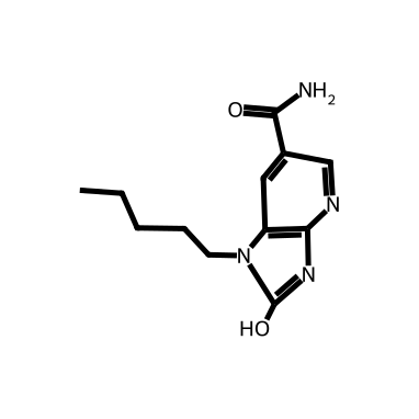 CCCCCn1c(O)nc2ncc(C(N)=O)cc21